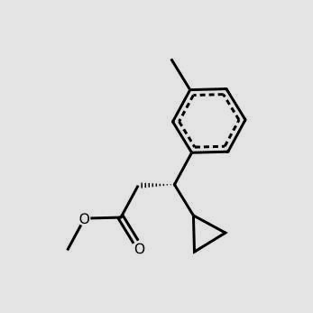 COC(=O)C[C@H](c1cccc(C)c1)C1CC1